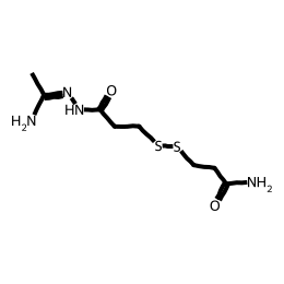 C/C(N)=N/NC(=O)CCSSCCC(N)=O